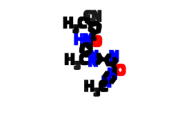 Cc1ccc(NC(=O)c2cccc(C(C)C#N)c2)cc1-n1cc(C2C=C(C(=O)N3CCN(C)CC3)C=NC2)cn1